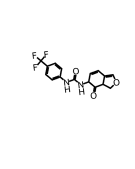 O=C(Nc1ccc(C(F)(F)F)cc1)NC1C=CC2=COCC2C1=O